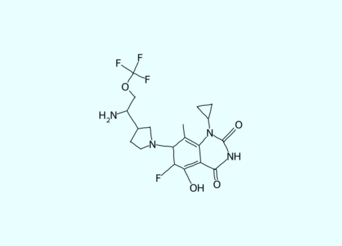 CC1=c2c(c(=O)[nH]c(=O)n2C2CC2)=C(O)C(F)C1N1CCC(C(N)COC(F)(F)F)C1